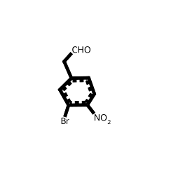 O=CCc1ccc([N+](=O)[O-])c(Br)c1